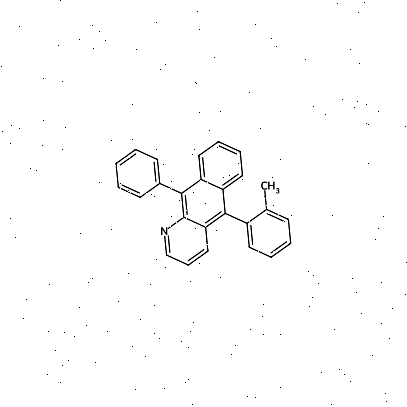 Cc1ccccc1-c1c2ccccc2c(-c2ccccc2)c2ncccc12